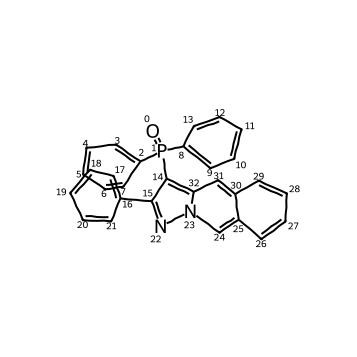 O=P(c1ccccc1)(c1ccccc1)c1c(-c2ccccc2)nn2cc3ccccc3cc12